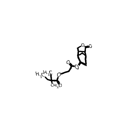 CCC(C)(C)C(=O)OCC(=O)OC1CC2CC1C1COC(=O)C21